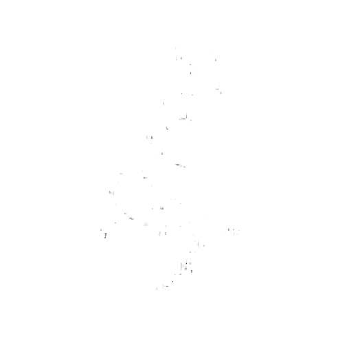 COCC(C)(N=[N+]=[N-])c1cnc(O[C@H]2C[C@@H](S(C)(=O)=O)C2)c2cnc(Cl)cc12